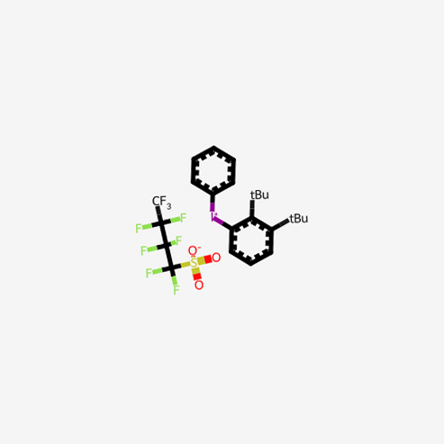 CC(C)(C)c1cccc([I+]c2ccccc2)c1C(C)(C)C.O=S(=O)([O-])C(F)(F)C(F)(F)C(F)(F)C(F)(F)F